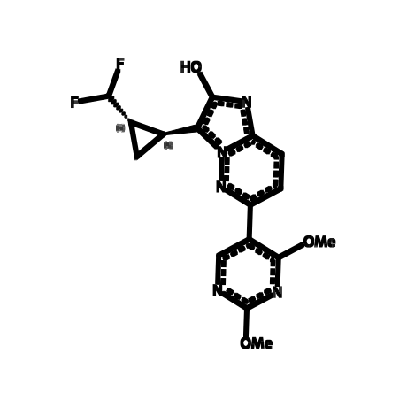 COc1ncc(-c2ccc3nc(O)c([C@H]4C[C@@H]4C(F)F)n3n2)c(OC)n1